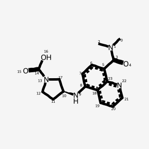 CN(C)C(=O)c1ccc(N[C@H]2CCN(C(=O)O)C2)c2cccnc12